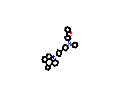 c1ccc(N(c2ccc(-c3ccc(-n4c5cccc6c5c5c7c(cccc7ccc54)-c4ccccc4-6)cc3)cc2)c2ccc3c(c2)oc2ccccc23)cc1